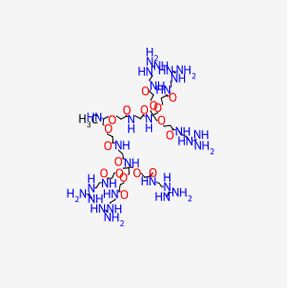 CNC(COCCC(=O)NCCC(=O)NC(COCCC(=O)NCCNC(=N)N)(COCCC(=O)NCCNC(=N)N)COCCC(=O)NCCNC(=N)N)COCCC(=O)NCCC(=O)NC(COCCC(=O)NCCNC(=N)N)(COCCC(=O)NCCNC(=N)N)COCCC(=O)NCCNC(=N)N